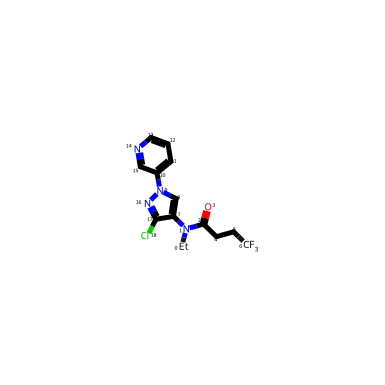 CCN(C(=O)CCC(F)(F)F)c1cn(-c2cccnc2)nc1Cl